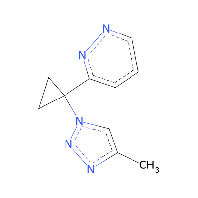 Cc1cn(C2(c3cccnn3)CC2)nn1